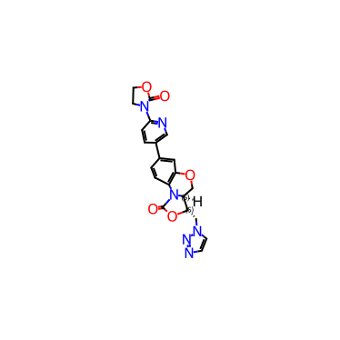 O=C1OCCN1c1ccc(-c2ccc3c(c2)OC[C@H]2[C@H](Cn4ccnn4)OC(=O)N32)cn1